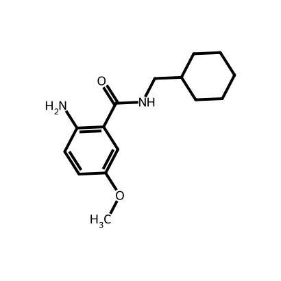 COc1ccc(N)c(C(=O)NCC2CCCCC2)c1